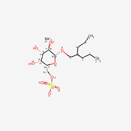 CCCC(CCC)CO[C@@H]1O[C@H](COS(=O)(=O)[O-])[C@H](O)[C@H](O)[C@H]1O.[Na+]